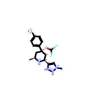 C[C@H]1C[C@@](OC(F)F)(c2ccc(C(F)(F)F)cc2)C[C@@H](C2=CN(C)NN2)N1